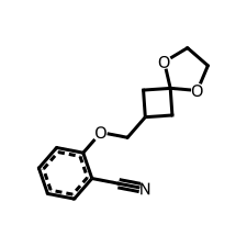 N#Cc1ccccc1OCC1CC2(C1)OCCO2